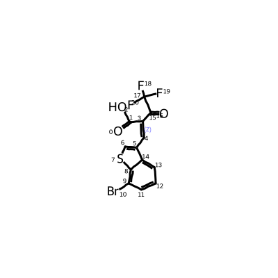 O=C(O)/C(=C\c1csc2c(Br)cccc12)C(=O)C(F)(F)F